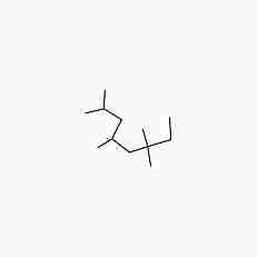 CCC(C)(C)C[C](C)CC(C)C